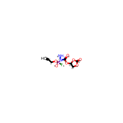 C#CCOP(=O)(F)N(N)C(=O)OC1COC(=O)O1